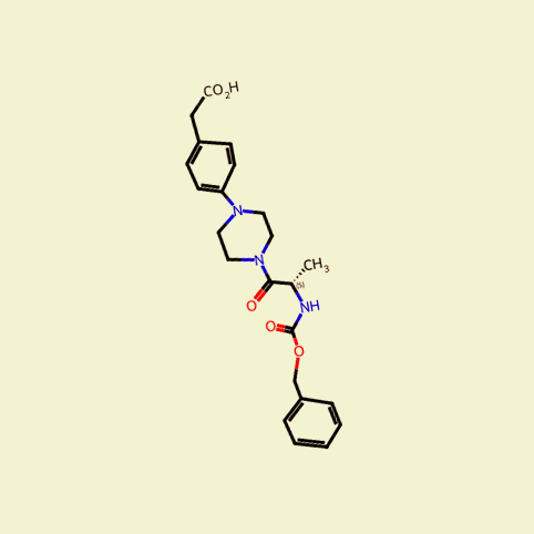 C[C@H](NC(=O)OCc1ccccc1)C(=O)N1CCN(c2ccc(CC(=O)O)cc2)CC1